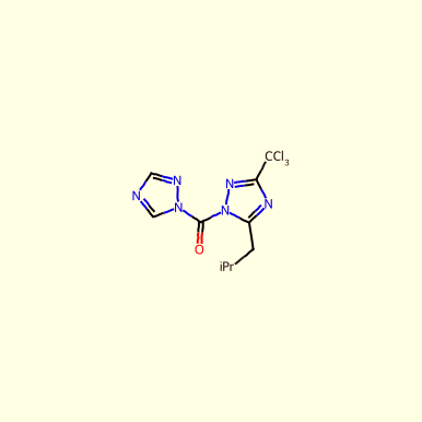 CC(C)Cc1nc(C(Cl)(Cl)Cl)nn1C(=O)n1cncn1